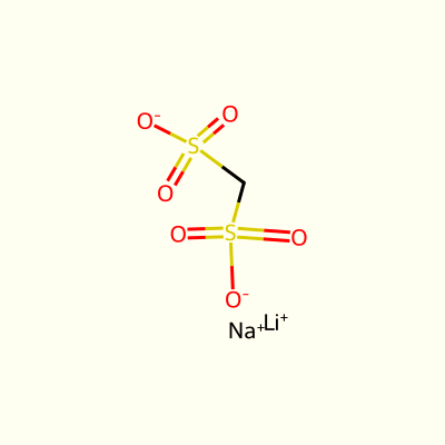 O=S(=O)([O-])CS(=O)(=O)[O-].[Li+].[Na+]